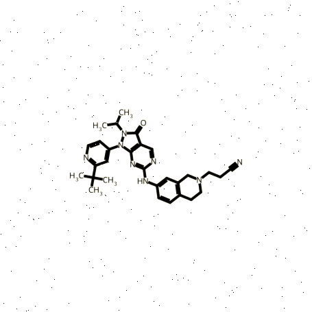 CC(C)n1c(=O)c2cnc(Nc3ccc4c(c3)CN(CCC#N)CC4)nc2n1-c1ccnc(C(C)(C)C)c1